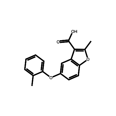 Cc1ccccc1Oc1ccc2oc(C)c(C(=O)O)c2c1